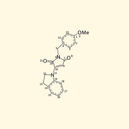 COc1ccc(CN2C(=O)C=C(N3CCc4ccccc43)C2=O)cc1